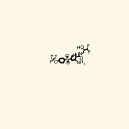 Nc1cc(S(=O)(=O)c2ccc(OC(F)(F)F)cc2)cnc1C(=O)NCC(O)C(F)F